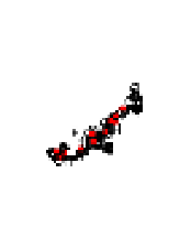 CC(C)(CCCN1CCN(CC[C@H](CSc2ccccc2)Nc2ccc(S(=O)(=O)NC(=O)c3ccc(N4CCC([C@@H](O)c5ccccc5-c5ccc(Cl)cc5)CC4)cc3)cc2S(=O)(=O)C(F)(F)F)CC1)[Si](O)(c1ccccc1)c1ccccc1